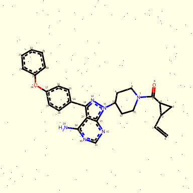 [CH]=CC1CC1C(=O)N1CCC(n2nc(-c3ccc(Oc4ccccc4)cc3)c3c(N)ncnc32)CC1